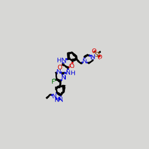 CCn1nnc2ccc(-c3nc(NC4Oc5c(CN6CCN(S(C)(=O)=O)CC6)cccc5NC4=O)ncc3F)cc21